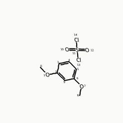 COc1cccc(OC)c1.O=S(=O)(Cl)Cl